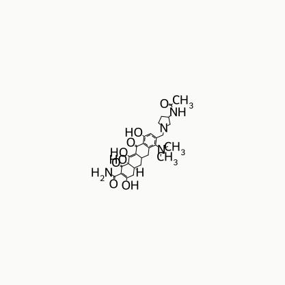 CC(=O)N[C@@H]1CCN(Cc2cc(O)c3c(c2N(C)C)CC2C[C@H]4CC(O)=C(C(N)=O)C(=O)[C@@]4(O)C(O)=C2C3=O)C1